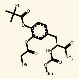 CCC(C)(C)C(=O)Oc1ccc(C[C@H](NC(=O)OC(C)(C)C)C(N)=O)cc1OC(=O)CC(C)(C)C